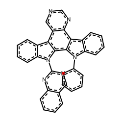 c1ccc(-n2c3ccccc3c3c4ncncc4c4c5ccccc5n(-c5ncc6ccccc6n5)c4c32)cc1